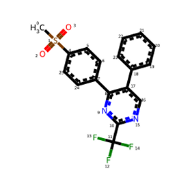 CS(=O)(=O)c1ccc(-c2nc(C(F)(F)F)ncc2-c2ccccc2)cc1